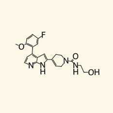 COc1ccc(F)cc1-c1ccnc2[nH]c(C3=CCN(C(=O)NCCO)CC3)cc12